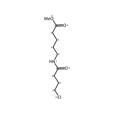 COC(=O)CCCCNC(=O)CCCCl